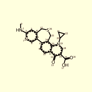 CNc1cc2c(cn1)-c1ccc3c(=O)c(C(=O)O)cn(C4CC4)c3c1CSC2